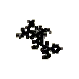 CC(C)(C)OC(=O)[C@H](NC(=O)N[C@H](C(=O)N1C[C@H]2C([C@H]1C(=O)NC(CC1CCC1)C(=O)C(N)=O)C2(C)C)C(C)(C)C)c1ccccc1